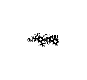 CC(C)(C)c1cc(C(C)(C)CN=O)c(O)cc1NC(=O)c1c[nH]c2ccccc2c1=O